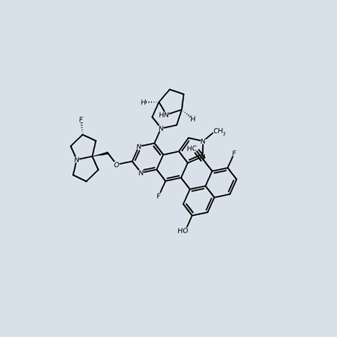 C#Cc1c(F)ccc2cc(O)cc(-c3c(F)c4nc(OC[C@@]56CCCN5C[C@H](F)C6)nc(N5C[C@H]6CC[C@@H](C5)N6)c4c4cn(C)nc34)c12